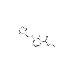 CCOC(=O)C1C=CC=C(OCC2OCCO2)C1C